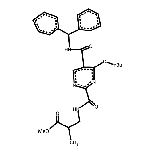 CCCCOc1nc(C(=O)NCC(C)C(=O)OC)ncc1C(=O)NC(c1ccccc1)c1ccccc1